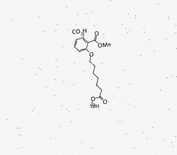 COC(=O)c1c(OCCCCCCC(=O)OC(C)(C)C)cccc1C(=O)O